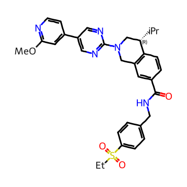 CCS(=O)(=O)c1ccc(CNC(=O)c2ccc3c(c2)CN(c2ncc(-c4ccnc(OC)c4)cn2)C[C@@H]3C(C)C)cc1